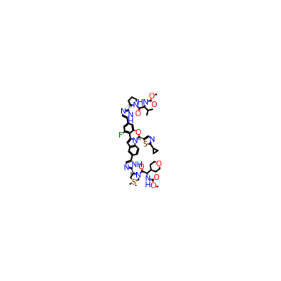 COC(=O)NC(C(=O)N1CS(C)(C)C[C@H]1c1ncc(-c2ccc3c(c2)cc2n3[C@H](c3cnc(C4CC4)s3)Oc3cc(-c4cnc([C@@H]5CCCN5C(=O)[C@@H](NC(=O)OC)C(C)C)[nH]4)cc(F)c3-2)[nH]1)C1CCOCC1